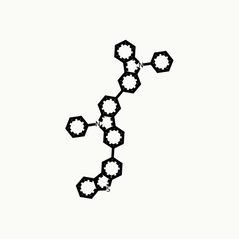 c1ccc(-n2c3ccccc3c3cc(-c4ccc5c(c4)c4ccc(-c6ccc7sc8ccccc8c7c6)cc4n5-c4ccccc4)ccc32)cc1